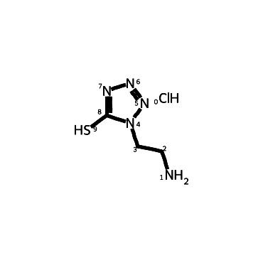 Cl.NCCn1nnnc1S